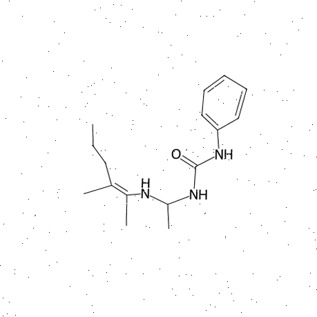 CCC/C(C)=C(/C)NC(C)NC(=O)Nc1ccccc1